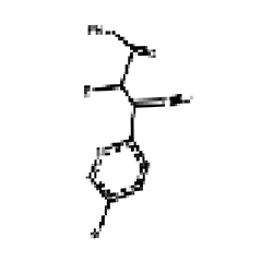 COC(=O)C(Br)C(=C=O)c1ccc(Br)cn1